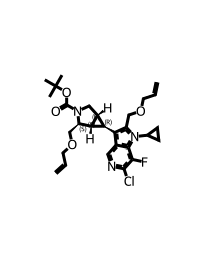 C=CCOCc1c([C@@H]2[C@H]3CN(C(=O)OC(C)(C)C)[C@H](COCC=C)[C@H]32)c2cnc(Cl)c(F)c2n1C1CC1